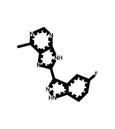 Cc1ncnc2[nH]c(-c3n[nH]c4ccc(F)cc34)nc12